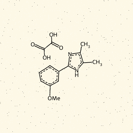 COc1cccc(-c2nc(C)c(C)[nH]2)c1.O=C(O)C(=O)O